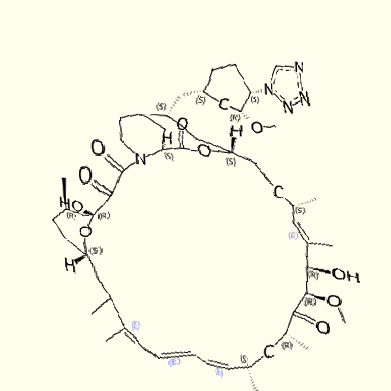 CO[C@@H]1C[C@H](C[C@H]2C3CCN4C(=O)C(=O)[C@]5(O)O[C@@H](CC[C@H]5C)CC(C)/C(C)=C/C=C/C=C/[C@@H](C)C[C@@H](C)C(=O)[C@H](OC)[C@H](O)/C(C)=C/[C@@H](C)CC[C@@H]2OC(=O)[C@@H]4C3)CC[C@@H]1n1cnnn1